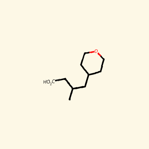 CC(CC(=O)O)CC1CCOCC1